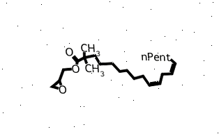 CCCCC/C=C\C/C=C\CCCCCCCC(C)(C)C(=O)OCC1CO1